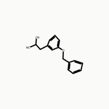 N#CC(C#N)Cc1cccc(OCc2ccccc2)c1